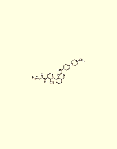 C=CC(=O)Nc1cccc(-c2cccc3cnc(Nc4ccc(N5CCN(C)CC5)cc4)nc23)c1C#N